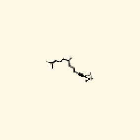 CC(C)=CCCC(C)=CCCC#C[Si](C)(C)C